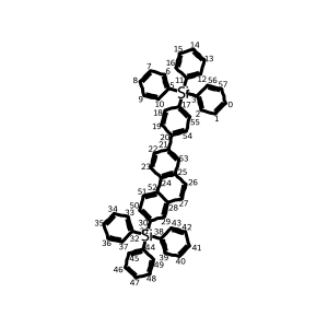 c1ccc([Si](c2ccccc2)(c2ccccc2)c2ccc(-c3ccc4c(ccc5cc([Si](c6ccccc6)(c6ccccc6)c6ccccc6)ccc54)c3)cc2)cc1